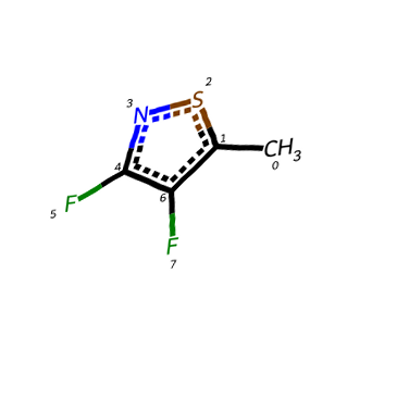 Cc1snc(F)c1F